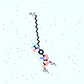 CCCCCCCCCCCCCCCCN(C(=O)C(F)(F)F)c1ccc(C(=O)N[C@@H](CC(=O)OCC)C(=O)OCC)cc1